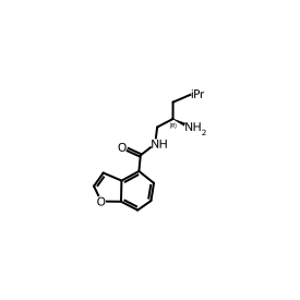 CC(C)C[C@@H](N)CNC(=O)c1cccc2occc12